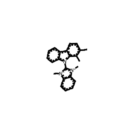 Cc1ccc2c3ccccc3n(-c3n(C)c4ccccc4[n+]3C)c2c1C